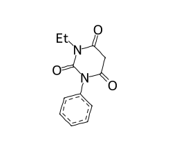 CCN1C(=O)CC(=O)N(c2ccccc2)C1=O